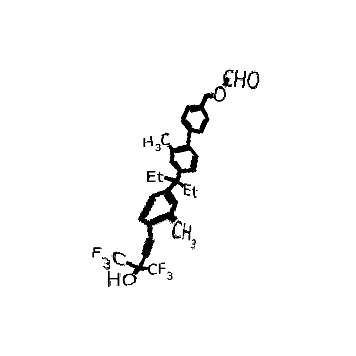 CCC(CC)(c1ccc(C#CC(O)(C(F)(F)F)C(F)(F)F)c(C)c1)c1ccc(-c2ccc(COC=O)cc2)c(C)c1